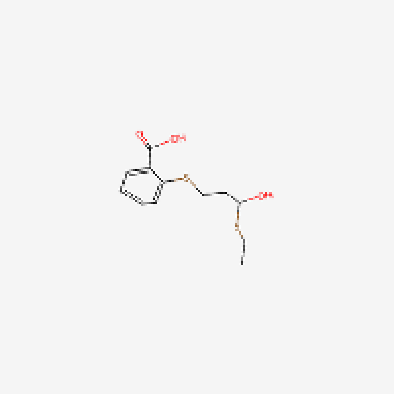 CCSC(O)CCSc1ccccc1C(=O)O